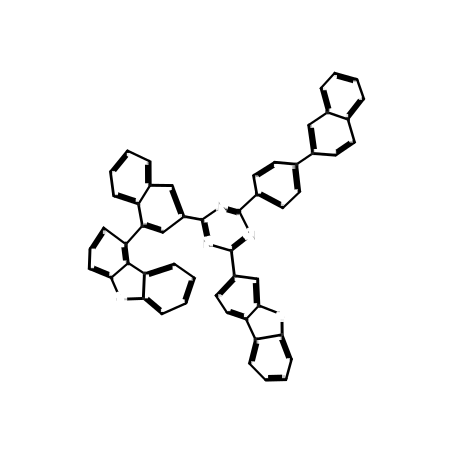 c1ccc2cc(-c3ccc(-c4nc(-c5cc(-c6cccc7oc8ccccc8c67)c6ccccc6c5)nc(-c5ccc6c(c5)sc5ccccc56)n4)cc3)ccc2c1